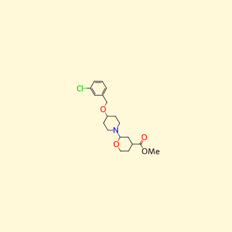 COC(=O)C1CCOC(N2CCC(OCc3cccc(Cl)c3)CC2)C1